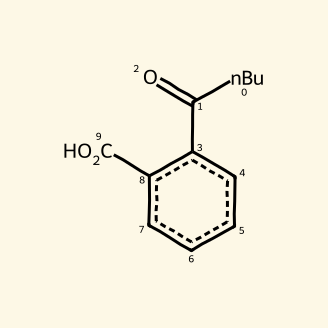 CCCCC(=O)c1ccccc1C(=O)O